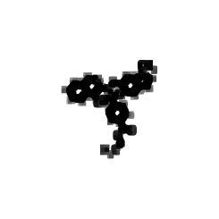 CCOC(=O)c1ccc(S(=O)(=O)N(Cc2ccc3ccn(C)c3c2)c2ncc3ccccc3c2C)cc1